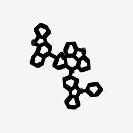 c1ccc(-n2c3ccccc3c3ccc(N(c4ccc(-c5cc6c7ccccc7oc6c6ccccc56)cc4)c4cccc5sc6ccccc6c45)cc32)cc1